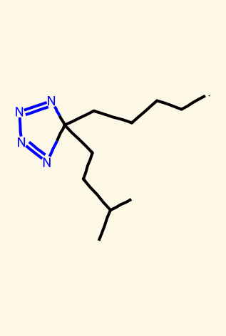 [CH2]CCCCC1(CCC(C)C)N=NN=N1